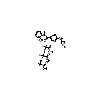 CN1CC(Nc2ccc(C(=O)Nc3ccccc3N)cc2)C1.O=C(O)C(F)(F)F.O=C(O)C(F)(F)F.O=C(O)C(F)(F)F